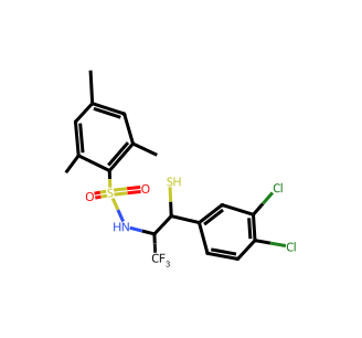 Cc1cc(C)c(S(=O)(=O)NC(C(S)c2ccc(Cl)c(Cl)c2)C(F)(F)F)c(C)c1